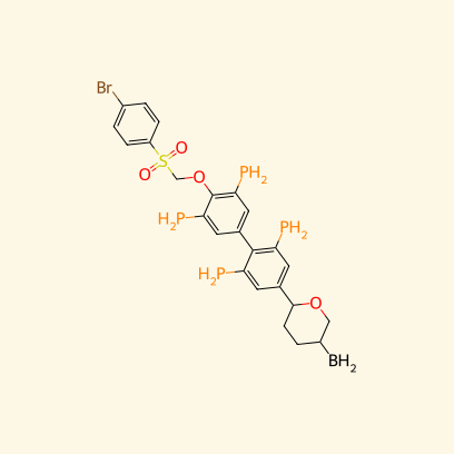 BC1CCC(c2cc(P)c(-c3cc(P)c(OCS(=O)(=O)c4ccc(Br)cc4)c(P)c3)c(P)c2)OC1